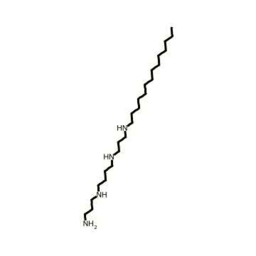 CCCCCCCCCCCCCCNCCCNCCCCNCCCN